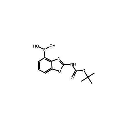 CC(C)(C)OC(=O)Nc1nc2c(B(O)O)cccc2o1